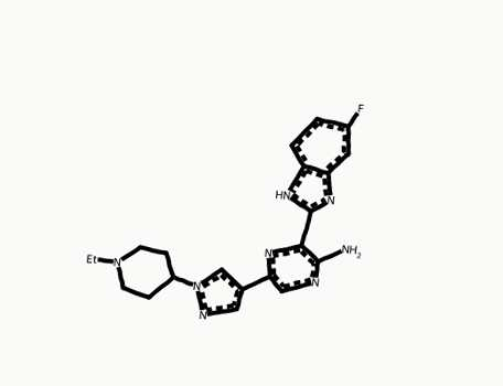 CCN1CCC(n2cc(-c3cnc(N)c(-c4nc5cc(F)ccc5[nH]4)n3)cn2)CC1